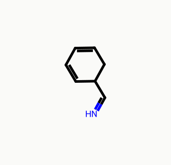 N=CC1C=CC=CC1